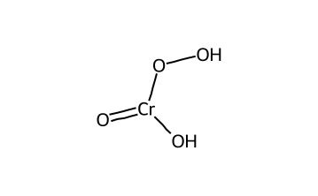 [O]=[Cr]([OH])[O]O